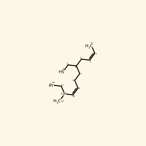 C/C=C\CC(CS)CC/C=C\P(C)CC(C)C